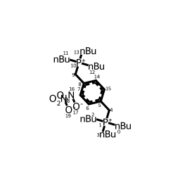 CCCC[P+](CCCC)(CCCC)Cc1ccc(C[P+](CCCC)(CCCC)CCCC)cc1.O=[N+]([O-])[O-].O=[N+]([O-])[O-]